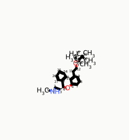 CNCC[C@@H](Oc1cccc(CCO[Si](C)(C)C(C)(C)C)c1)c1ccccc1